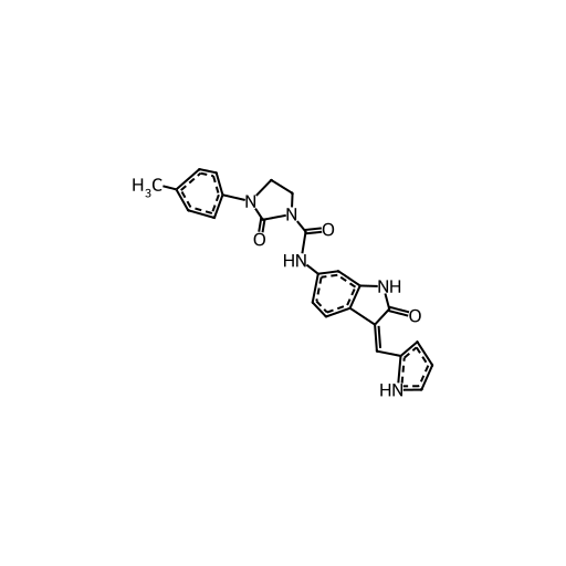 Cc1ccc(N2CCN(C(=O)Nc3ccc4c(c3)NC(=O)/C4=C\c3ccc[nH]3)C2=O)cc1